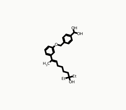 CCC(O)(CC)CCCCC=C(C)c1cccc(OCc2ccc(C(O)O)cc2)c1